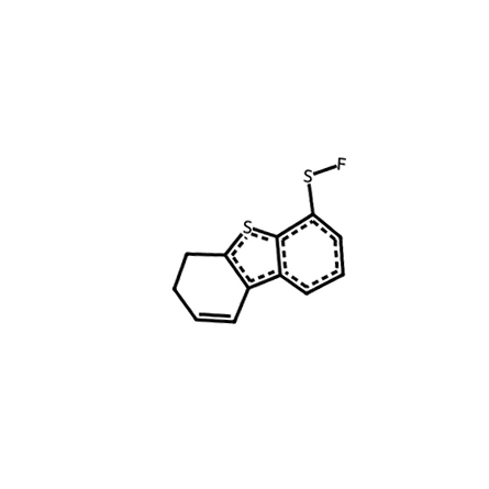 FSc1cccc2c3c(sc12)CCC=C3